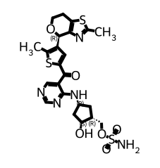 Cc1nc2c(s1)CCO[C@@H]2c1cc(C(=O)c2cncnc2N[C@@H]2C[C@H](COS(N)(=O)=O)[C@@H](O)C2)sc1C